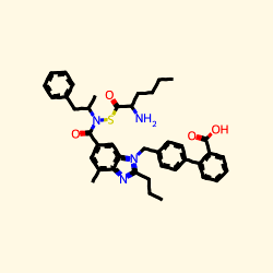 CCCCC(N)C(=O)SN(C(=O)c1cc(C)c2nc(CCC)n(Cc3ccc(-c4ccccc4C(=O)O)cc3)c2c1)C(C)Cc1ccccc1